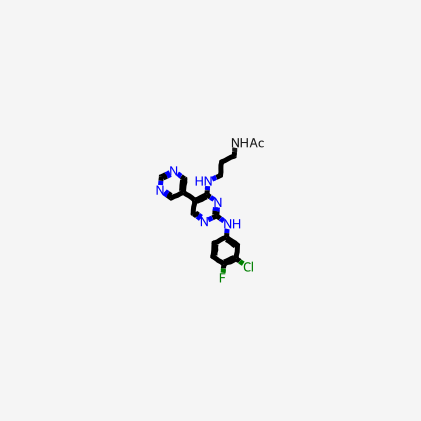 CC(=O)NCCCNc1nc(Nc2ccc(F)c(Cl)c2)ncc1-c1cncnc1